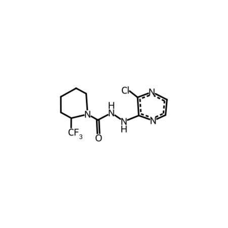 O=C(NNc1nccnc1Cl)N1CCCCC1C(F)(F)F